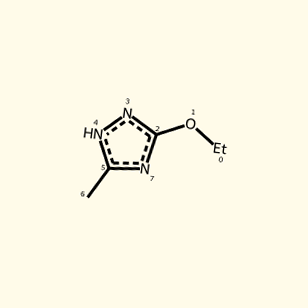 CCOc1n[nH]c(C)n1